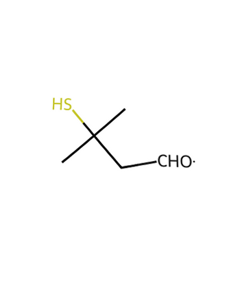 CC(C)(S)C[C]=O